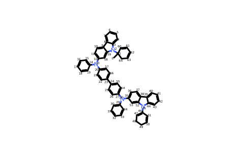 CC1(n2c3ccccc3c3ccc(N(c4ccccc4)c4ccc(-c5ccc(N(c6ccccc6)c6ccc7c8ccccc8n(C8=CCCC=C8)c7c6)cc5)cc4)cc32)C=CC=CC1